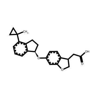 CC1(c2cccc3c2CC[C@H]3Oc2ccc3c(c2)OCC3CC(=O)O)CC1